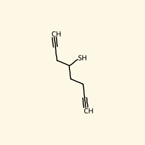 C#CCCC(S)CC#C